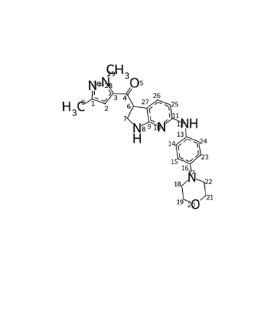 Cc1cc(C(=O)C2CNc3nc(Nc4ccc(N5CCOCC5)cc4)ccc32)n(C)n1